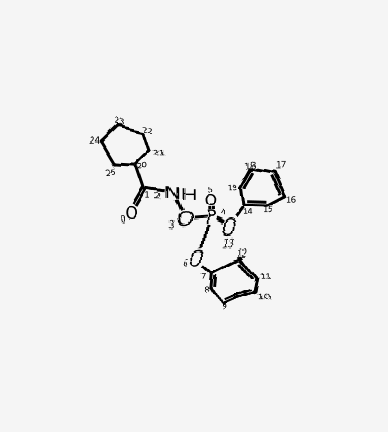 O=C(NOP(=O)(Oc1ccccc1)Oc1ccccc1)C1CCCCC1